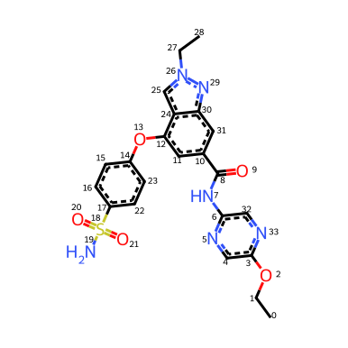 CCOc1cnc(NC(=O)c2cc(Oc3ccc(S(N)(=O)=O)cc3)c3cn(CC)nc3c2)cn1